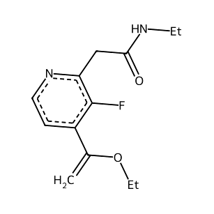 C=C(OCC)c1ccnc(CC(=O)NCC)c1F